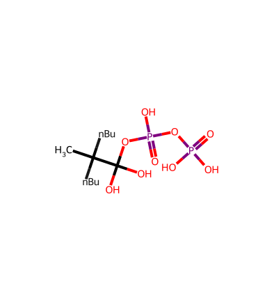 CCCCC(C)(CCCC)C(O)(O)OP(=O)(O)OP(=O)(O)O